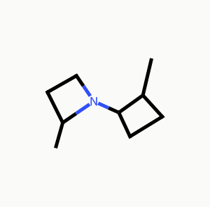 CC1CCC1N1CCC1C